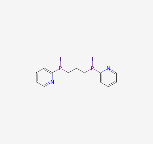 IP(CCCP(I)c1ccccn1)c1ccccn1